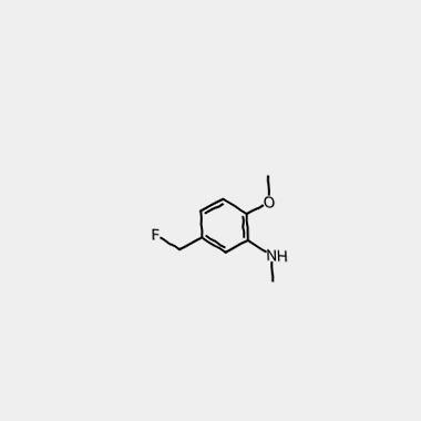 CNc1cc(CF)ccc1OC